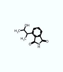 CC(O)C(C)c1cccc2c1C(=O)NC2=O